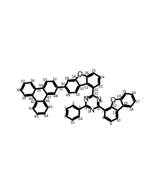 c1ccc(-c2nc(-c3cccc4c3oc3ccccc34)nc(-c3cccc4oc5cc(-c6ccc7c8ccccc8c8ccccc8c7c6)ccc5c34)n2)cc1